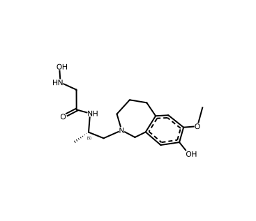 COc1cc2c(cc1O)CN(C[C@H](C)NC(=O)CNO)CCC2